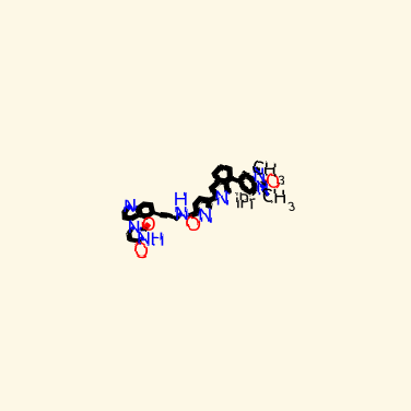 CC(C)c1cc(-c2cccc3cc(-c4ccc(C(=O)NCC#Cc5ccc6nccc(N7CCC(=O)NC7=O)c6c5)nc4)ncc23)cc2c1n(C)c(=O)n2C